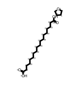 C1CCOC1.O=C(O)CCCCCCCCCCCCCCCCC(=O)O